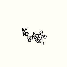 COc1c(N2CC3ON=C(c4ccc(C(F)(F)F)nc4)C3C2)c(F)cc2c(=O)c(C=O)cn(C3CC3)c12